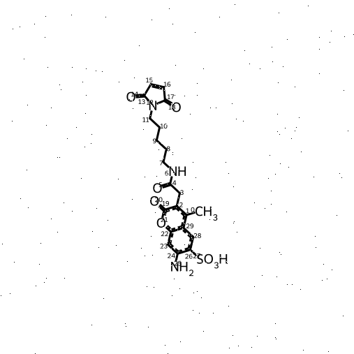 Cc1c(CC(=O)NCCCCCN2C(=O)C=CC2=O)c(=O)oc2cc(N)c(S(=O)(=O)O)cc12